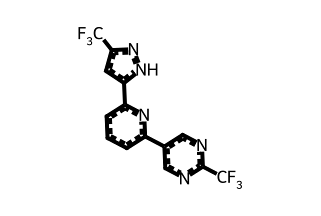 FC(F)(F)c1cc(-c2cccc(-c3cnc(C(F)(F)F)nc3)n2)[nH]n1